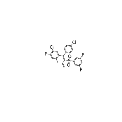 C=C/C(=C(/c1ccc(Cl)cc1)c1cc(Cl)c(F)cc1C)S(=O)(=O)c1cc(F)cc(F)c1